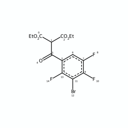 CCOC(=O)C(C(=O)OCC)C(=O)c1cc(F)c(F)c(Br)c1F